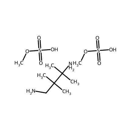 CC(C)(N)C(C)(C)CN.COS(=O)(=O)O.COS(=O)(=O)O